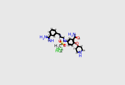 CS(=O)(=O)N(C/C=C/c1cccc(C(=N)N)c1)c1ccc(OC2CCNCC2)c(C(N)=O)c1.Cl.Cl